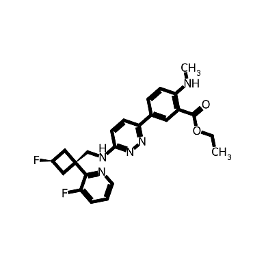 CCOC(=O)c1cc(-c2ccc(NC[C@]3(c4ncccc4F)C[C@H](F)C3)nn2)ccc1NC